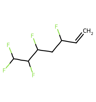 C=CC(F)CC(F)C(F)C(F)F